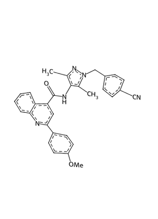 COc1ccc(-c2cc(C(=O)Nc3c(C)nn(Cc4ccc(C#N)cc4)c3C)c3ccccc3n2)cc1